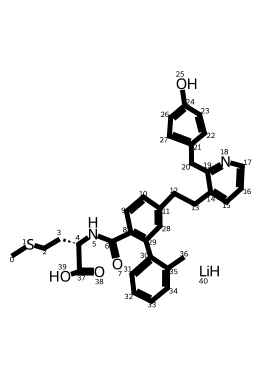 CSCC[C@H](NC(=O)c1ccc(CCc2cccnc2Cc2ccc(O)cc2)cc1-c1ccccc1C)C(=O)O.[LiH]